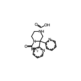 NC(=O)N1CCNCC1(c1ccccn1)c1ncccn1.O=CO